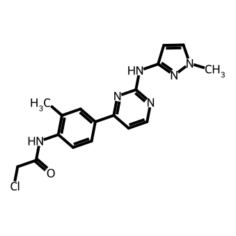 Cc1cc(-c2ccnc(Nc3ccn(C)n3)n2)ccc1NC(=O)CCl